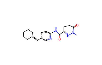 CN1N=C(C(=O)Nc2ccc(C=C3CCCCC3)cn2)CCC1=O